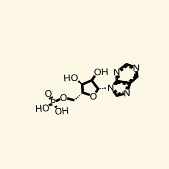 O=P(O)(O)OC[C@H]1O[C@@H](n2cnc3cncnc32)C(O)[C@@H]1O